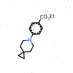 CCOC(=O)c1ccc(N2CCC3(CC2)CC3)cc1